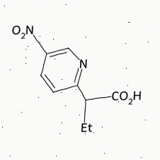 CCC(C(=O)O)c1ccc([N+](=O)[O-])cn1